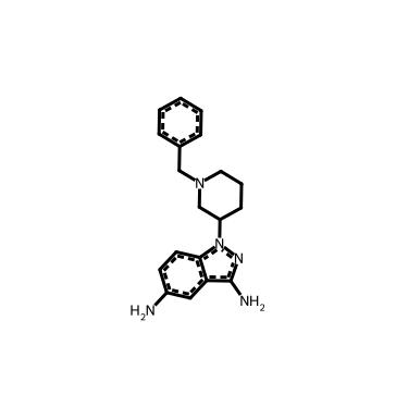 Nc1ccc2c(c1)c(N)nn2C1CCCN(Cc2ccccc2)C1